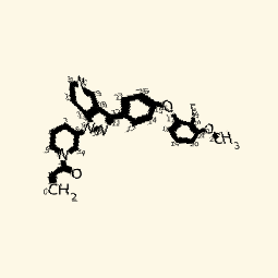 C=CC(=O)N1CCCC(n2nc(-c3ccc(Oc4cccc(OC)c4F)cc3)c3cnccc32)C1